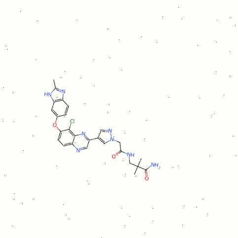 Cc1nc2ccc(Oc3ccc4ncc(-c5cnn(CC(=O)NCC(C)(C)C(N)=O)c5)nc4c3Cl)cc2[nH]1